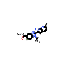 CCc1ccc2cc(-c3nc4cc(C(=O)OC)c(F)cc4n3CC(F)(F)F)[nH]c2n1